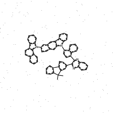 CC1(C)c2ccccc2-c2ccc(-c3nc4ccccc4nc3-c3ccc(-n4c5ccccc5c5cc6cc(-n7c8ccccc8c8ccc9ccccc9c87)ccc6cc54)c4ccccc34)cc21